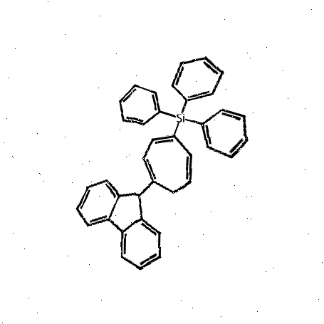 C1=CC([Si](c2ccccc2)(c2ccccc2)c2ccccc2)=CC=C(C2c3ccccc3-c3ccccc32)C1